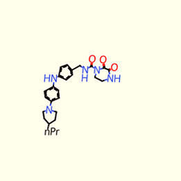 CCCC1CCN(c2ccc(Nc3ccc(CNC(=O)N4CCNC(=O)C4=O)cc3)cc2)CC1